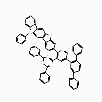 c1ccc(-c2ccc(-c3ccccc3)c(-c3cnc(-c4ccc5c(c4)oc4cc6c7ccccc7n(-c7ccccc7)c6cc45)c(-c4nc(-c5ccccc5)nc(-c5ccccc5)n4)c3)c2)cc1